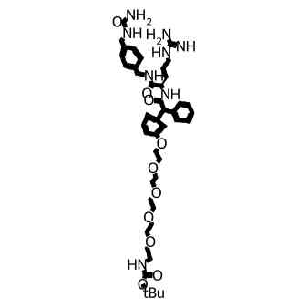 CC(C)(C)OC(=O)NCCOCCOCCOCCOCCOc1cccc(C(C(=O)N[C@H](CCCNC(=N)N)C(=O)NCc2ccc(CNC(N)=O)cc2)c2ccccc2)c1